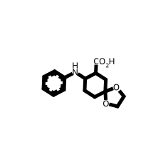 O=C(O)C1CC2(CCC1Nc1ccccc1)OCCO2